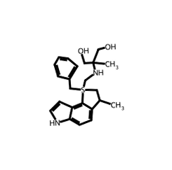 CC1CS(CNC(C)(CO)CO)(Cc2ccccc2)c2c1ccc1[nH]ccc21